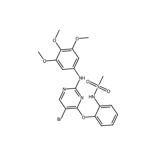 COc1cc(Nc2ncc(Br)c(Oc3ccccc3NS(C)(=O)=O)n2)cc(OC)c1OC